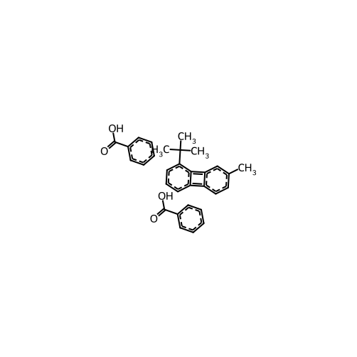 Cc1ccc2c(c1)=c1c(C(C)(C)C)cccc1=2.O=C(O)c1ccccc1.O=C(O)c1ccccc1